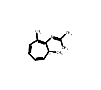 CC(C)=NC1=C(C)C=CC=C[C@@H]1C